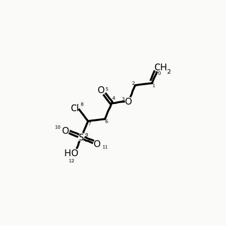 C=CCOC(=O)CC(Cl)S(=O)(=O)O